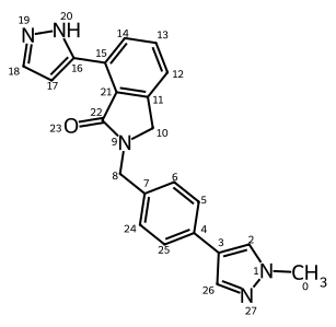 Cn1cc(-c2ccc(CN3Cc4cccc(-c5ccn[nH]5)c4C3=O)cc2)cn1